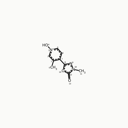 Cc1c[n+](O)ccc1-c1nn(C)c(=O)o1